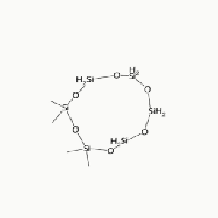 C[Si]1(C)O[SiH2]O[SiH2]O[SiH2]O[SiH2]O[Si](C)(C)O1